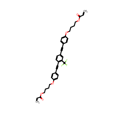 C=CC(=O)OCCCCOc1ccc(C#Cc2ccc(C#Cc3ccc(OCCCCOC(=O)C=C)cc3)c(C(F)(F)F)c2)cc1